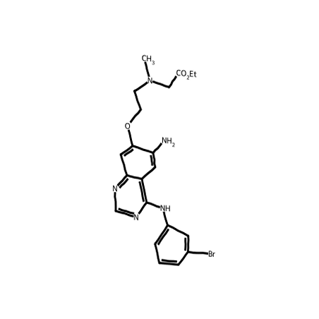 CCOC(=O)CN(C)CCOc1cc2ncnc(Nc3cccc(Br)c3)c2cc1N